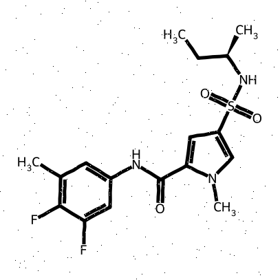 CC[C@@H](C)NS(=O)(=O)c1cc(C(=O)Nc2cc(C)c(F)c(F)c2)n(C)c1